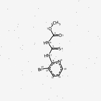 COC(=O)NC(=S)Nc1ncccc1Br